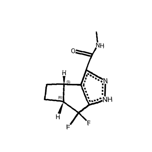 CNC(=O)c1n[nH]c2c1[C@H]1CC[C@H]1C2(F)F